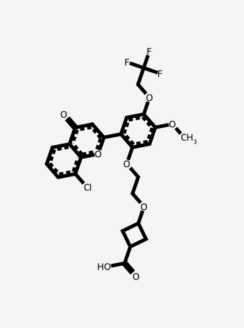 COc1cc(OCCOC2CC(C(=O)O)C2)c(-c2cc(=O)c3cccc(Cl)c3o2)cc1OCC(F)(F)F